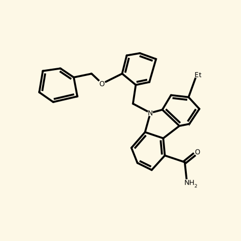 CCc1c[c]c2c3c(C(N)=O)cccc3n(Cc3ccccc3OCc3ccccc3)c2c1